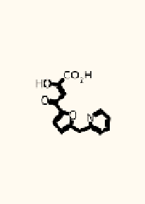 O=C(O)C(O)=CC(=O)c1ccc(Cc2ccccn2)o1